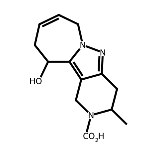 CC1Cc2nn3c(c2CN1C(=O)O)C(O)CC=CC3